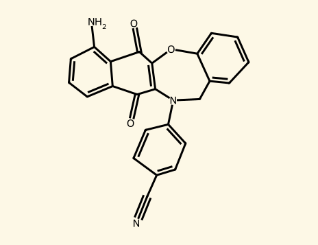 N#Cc1ccc(N2Cc3ccccc3OC3=C2C(=O)c2cccc(N)c2C3=O)cc1